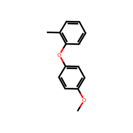 COc1ccc(Oc2[c]cccc2C)cc1